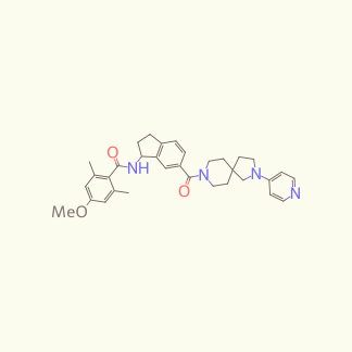 COc1cc(C)c(C(=O)NC2CCc3ccc(C(=O)N4CCC5(CC4)CCN(c4ccncc4)C5)cc32)c(C)c1